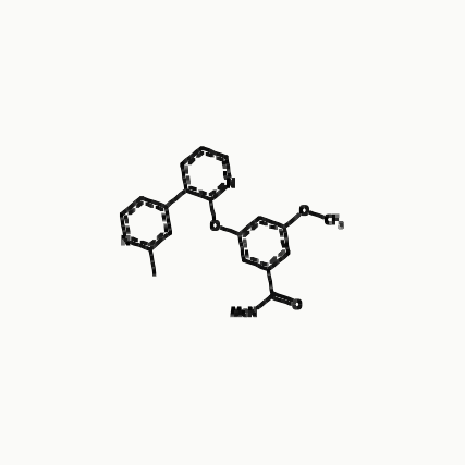 CNC(=O)c1cc(Oc2ncccc2-c2ccnc(C)c2)cc(OC(F)(F)F)c1